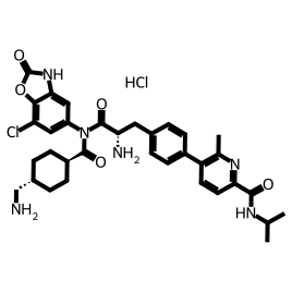 Cc1nc(C(=O)NC(C)C)ccc1-c1ccc(C[C@H](N)C(=O)N(c2cc(Cl)c3oc(=O)[nH]c3c2)C(=O)[C@H]2CC[C@H](CN)CC2)cc1.Cl